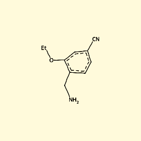 CCOc1cc(C#N)ccc1CN